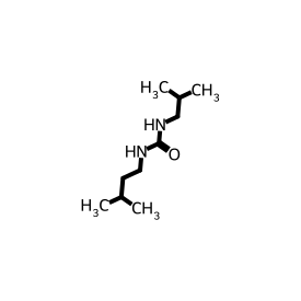 CC(C)CCNC(=O)NCC(C)C